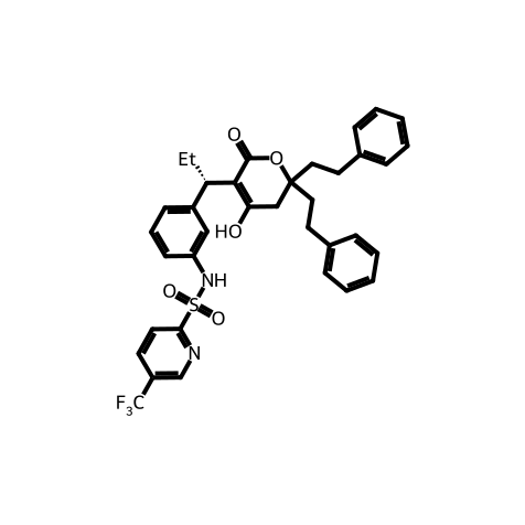 CC[C@H](C1=C(O)CC(CCc2ccccc2)(CCc2ccccc2)OC1=O)c1cccc(NS(=O)(=O)c2ccc(C(F)(F)F)cn2)c1